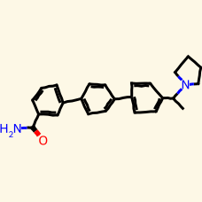 CC(c1ccc(-c2ccc(-c3cccc(C(N)=O)c3)cc2)cc1)N1CCCC1